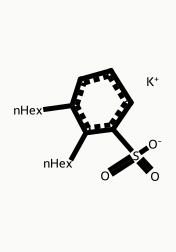 CCCCCCc1cccc(S(=O)(=O)[O-])c1CCCCCC.[K+]